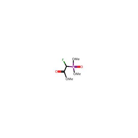 COC(=O)C(F)P(=O)(OC)OC